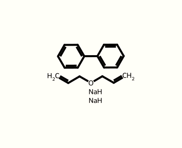 C=CCOCC=C.[NaH].[NaH].c1ccc(-c2ccccc2)cc1